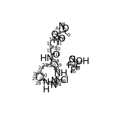 Cc1oncc1S(=O)(=O)N1CCC(CC(=O)Nc2ccc3cc2CCc2cccc(c2)Nc2ncc(Cl)c(n2)N3)CC1.O=C(O)C(F)(F)F